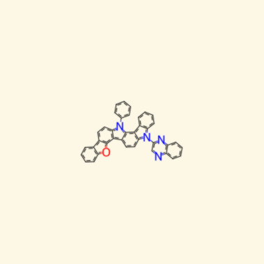 c1ccc(-n2c3ccc4c5ccccc5oc4c3c3ccc4c(c5ccccc5n4-c4cnc5ccccc5n4)c32)cc1